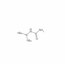 CCCCN(CCCC)NC(N)=O